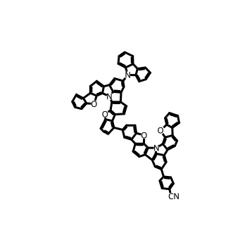 N#Cc1ccc(-c2cc3c4ccc5c6ccccc6oc5c4n4c3c(c2)c2ccc3c5cc(-c6cccc7oc8c(ccc9c%10cc(-n%11c%12ccccc%12c%12ccccc%12%11)cc%11c%12ccc%13c%14ccccc%14oc%13c%12n(c%11%10)c98)c67)ccc5oc3c24)cc1